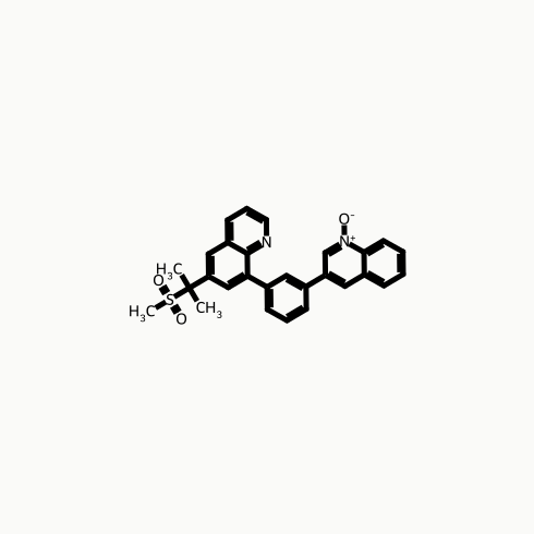 CC(C)(c1cc(-c2cccc(-c3cc4ccccc4[n+]([O-])c3)c2)c2ncccc2c1)S(C)(=O)=O